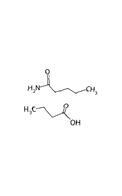 CCCC(=O)O.CCCCC(N)=O